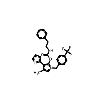 Cc1cn(Cc2ccc(C(F)(F)F)cc2)c(OC(=O)NCCc2ccccc2)c1-c1ccco1